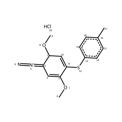 COC1=CC(=[N+]=[N-])C(OC)C=C1Sc1ccc(C)cc1.Cl